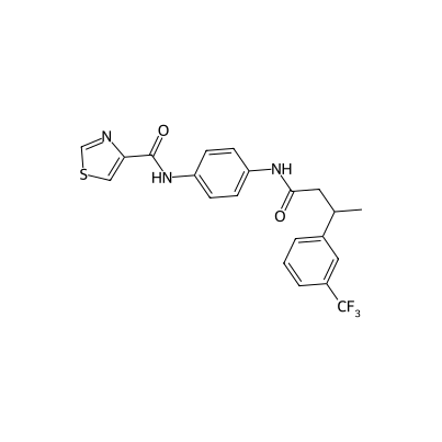 CC(CC(=O)Nc1ccc(NC(=O)c2cscn2)cc1)c1cccc(C(F)(F)F)c1